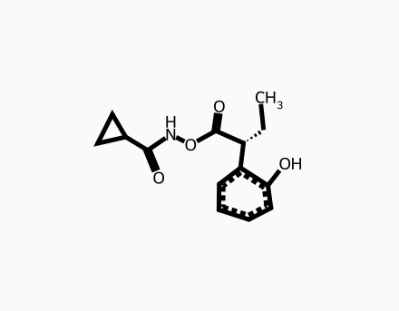 CC[C@@H](C(=O)ONC(=O)C1CC1)c1ccccc1O